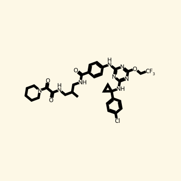 CC(CNC(=O)C(=O)N1CCCCC1)CNC(=O)c1ccc(Nc2nc(NC3(c4ccc(Cl)cc4)CC3)nc(OCC(F)(F)F)n2)cc1